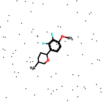 COc1ccc(C2CCC(C)CO2)c(F)c1F